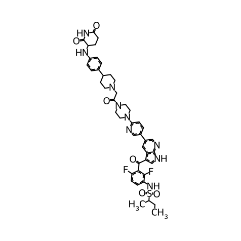 CCC(C)S(=O)(=O)Nc1ccc(F)c(C(=O)c2c[nH]c3ncc(-c4ccc(N5CCN(C(=O)CN6CCC(c7ccc(NC8CCC(=O)NC8=O)cc7)CC6)CC5)nc4)cc23)c1F